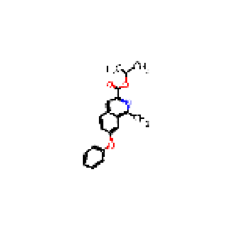 Cc1nc(C(=O)OC(C)C)cc2ccc(Oc3ccccc3)cc12